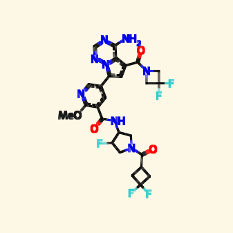 COc1ncc(-c2cc(C(=O)N3CC(F)(F)C3)c3c(N)ncnn23)cc1C(=O)NC1CN(C(=O)C2CC(F)(F)C2)CC1F